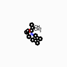 CC1(C)c2ccccc2-c2ccc(N(c3ccc4c(c3)C3(c5ccccc5-c5ccccc53)c3ccccc3-4)c3ccccc3C34CC5CC(CC(C5)C3)C4)cc21